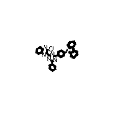 Clc1nc2ccccc2nc1-c1nc(-c2ccccc2)nc(-c2ccc(-n3c4ccccc4c4ccccc43)cc2)n1